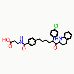 O=C(O)CCNC(=O)c1ccc(CCCCC(C(=O)C2CCc3ccccc3N2)c2ccc(Cl)cc2)cc1